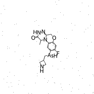 CC1C(=O)NN=C2COc3cc(F)c([AsH]CC4CNC4)cc3N21